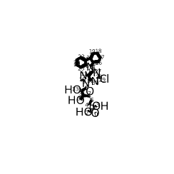 O=P(O)(O)CC[C@H]1O[C@@H](n2cnc3c(-n4c5ccccc5c5ccccc54)nc(Cl)nc32)C(O)C1O